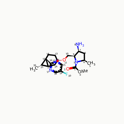 COC(=O)N1[C@H](C)C[C@H](N)[C@@H]1CO[C@H]1CC[C@]2(c3ncc(F)cn3)C(C1)[C@@H]2C